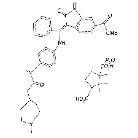 CC1(C(=O)O)CCC(C(=O)O)C1(C)C.COC(=O)c1ccc2c(c1)NC(=O)C2=C(Nc1ccc(N(C)C(=O)CN2CCN(C)CC2)cc1)c1ccccc1.O